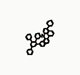 c1ccc(-c2ccc(N(c3cccc(-c4c(-c5ccccc5)cc(-c5ccccc5)cc4-c4ccccc4)c3)c3ccccc3-c3ccccc3)cc2)cc1